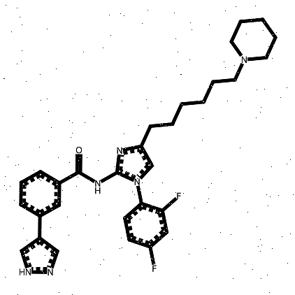 O=C(Nc1nc(CCCCCCN2CCCCC2)cn1-c1ccc(F)cc1F)c1cccc(-c2cn[nH]c2)c1